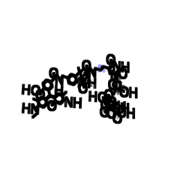 CCNc1cc2oc3cc(=N)c(C)cc-3c(-c3cc(C(=O)NCc4ccc([N+](=O)[O-])c(C(C)OC(=O)NC/C=C/c5cn([C@H]6C[C@@H](O)[C@@H](COP(=O)(O)OP(=O)(O)OP(=O)(O)O)O6)c(=O)[nH]c5=O)c4)ccc3C(=O)O)c2cc1C